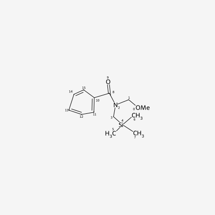 COCN(C[Si](C)(C)C)C(=O)c1ccccc1